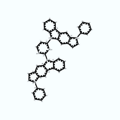 c1ccc(-n2ccc3cc4c(cc32)c2ccccc2n4-c2ccnc(-n3c4ccccc4c4cc5c(ccn5-c5ccccc5)cc43)n2)cc1